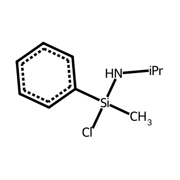 CC(C)N[Si](C)(Cl)c1ccccc1